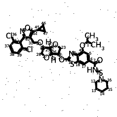 CC(C)Oc1cc(C(=O)NSN2CCCCC2)cc2sc(O[C@@H]3CO[C@H]4[C@@H]3OC[C@H]4OCc3c(-c4c(Cl)cccc4Cl)noc3C3CC3)nc12